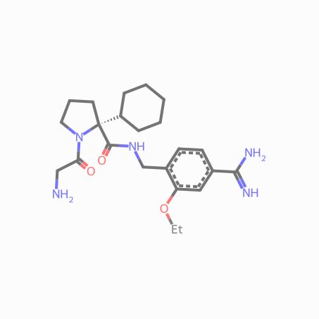 CCOc1cc(C(=N)N)ccc1CNC(=O)[C@]1(C2CCCCC2)CCCN1C(=O)CN